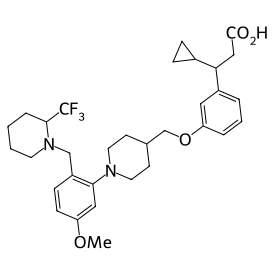 COc1ccc(CN2CCCCC2C(F)(F)F)c(N2CCC(COc3cccc(C(CC(=O)O)C4CC4)c3)CC2)c1